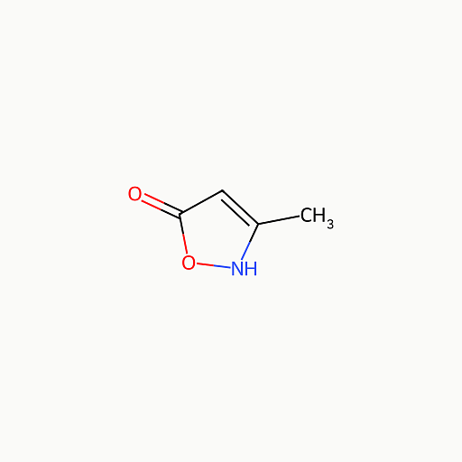 Cc1cc(=O)o[nH]1